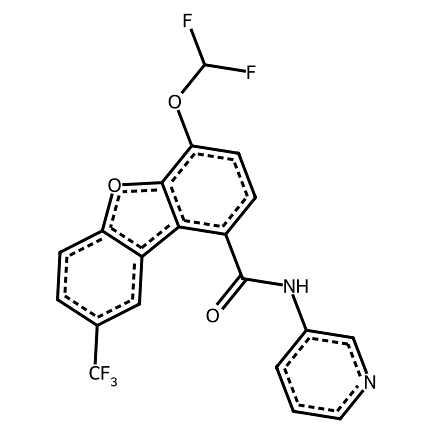 O=C(Nc1cccnc1)c1ccc(OC(F)F)c2oc3ccc(C(F)(F)F)cc3c12